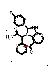 NC(=O)C(c1ccccn1)N1c2c(C(=O)O)ccnc2NC1c1ccc(F)cc1